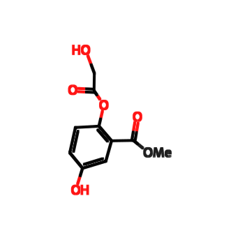 COC(=O)c1cc(O)ccc1OC(=O)CO